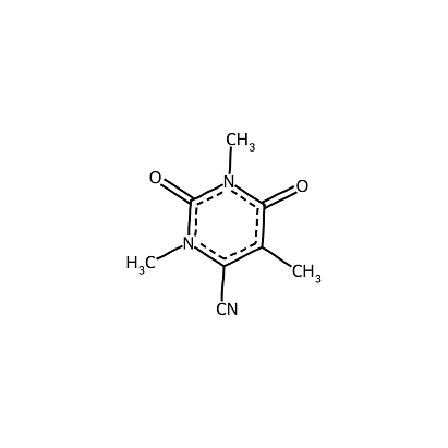 Cc1c(C#N)n(C)c(=O)n(C)c1=O